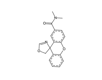 CN(C)C(=O)c1ccc2c(c1)C1(COC=N1)c1ccccc1O2